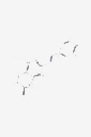 Cc1nc(/C=C/c2ccccc2)nc2c1CCC(=O)N2